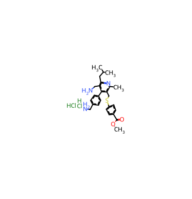 COC(=O)c1ccc(SCc2c(C)nc(CC(C)C)c(CN)c2-c2ccc(CN)cc2)cc1.Cl.Cl